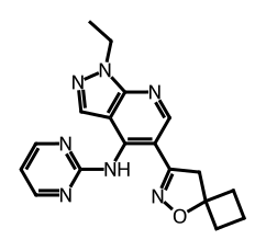 CCn1ncc2c(Nc3ncccn3)c(C3=NOC4(CCC4)C3)cnc21